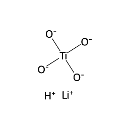 [H+].[Li+].[O-][Ti]([O-])([O-])[O-]